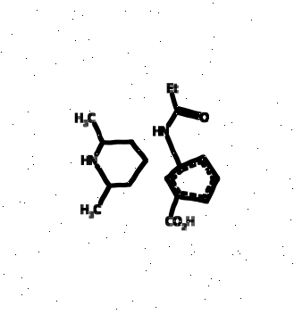 CC1CCCC(C)N1.CCC(=O)Nc1cccc(C(=O)O)c1